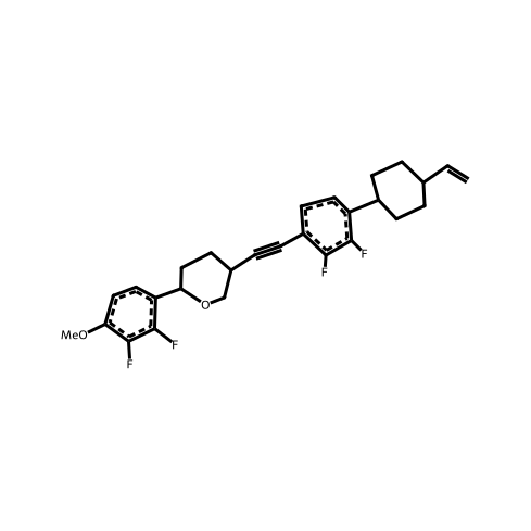 C=CC1CCC(c2ccc(C#CC3CCC(c4ccc(OC)c(F)c4F)OC3)c(F)c2F)CC1